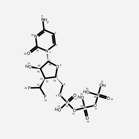 Nc1ccn([C@@H]2O[C@H](COP(=O)(O)OP(=O)(O)OP(=O)(O)O)[C@@H](C(F)F)[C@H]2O)c(=O)n1